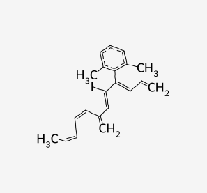 C=C/C=C(/C(I)=C/C(=C)/C=C\C=C/C)c1c(C)cccc1C